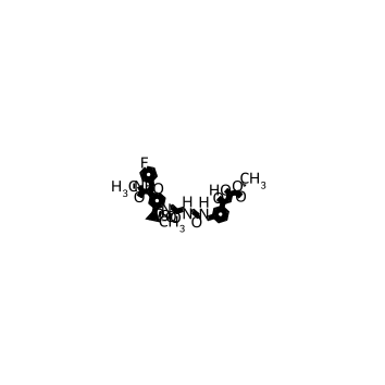 CCOC(=O)/C(O)=C/C(=O)c1cccc(CNC(=O)CNCC(=O)CN(c2cc3oc(-c4ccc(F)cc4)c(C(=O)NC)c3cc2C2CC2)S(C)(=O)=O)c1